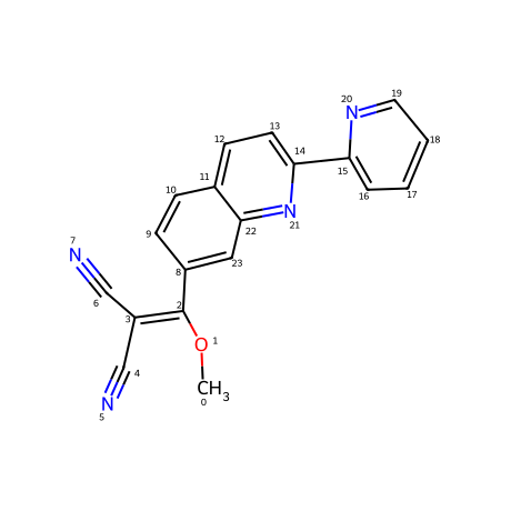 COC(=C(C#N)C#N)c1ccc2ccc(-c3ccccn3)nc2c1